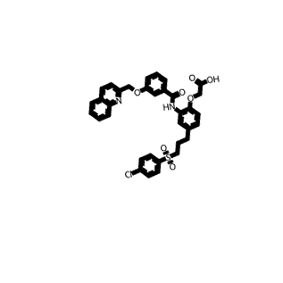 O=C(O)COc1ccc(CCCS(=O)(=O)c2ccc(Cl)cc2)cc1NC(=O)c1cccc(OCc2ccc3ccccc3n2)c1